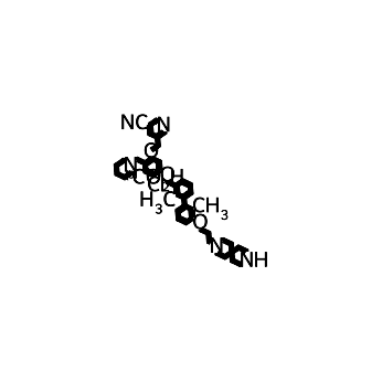 Cc1c(COc2cc(OCc3cncc(C#N)c3)c(CN3CCCC[C@H]3C(=O)O)cc2Cl)cccc1-c1cccc(OCCCN2CCC3(CCNCC3)CC2)c1C